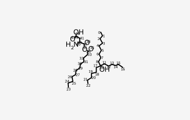 CCCCCCCCCC(O)(CCCCCC)CCCCCC.CCCCCCCCCCCC(=O)OC(=O)C(N)CC(=O)O